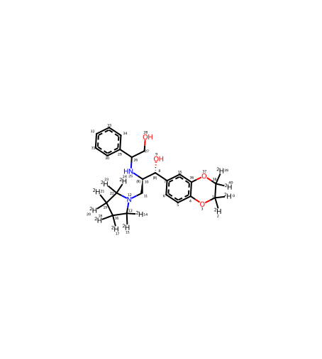 [2H]C1([2H])Oc2ccc([C@@H](O)[C@@H](CN3C([2H])([2H])C([2H])([2H])C([2H])([2H])C3([2H])[2H])NC(CO)c3ccccc3)cc2OC1([2H])[2H]